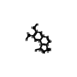 COc1cc2cnc3[nH]nc(C)c3c2cc1OC